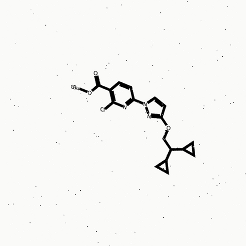 CC(C)(C)OC(=O)c1ccc(-n2ccc(OCC(C3CC3)C3CC3)n2)nc1Cl